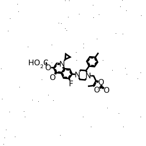 Cc1ccc(C2CN(c3cc4c(cc3F)c(=O)c(OC(=O)O)cn4C3CC3)CCN2Cc2oc(=O)oc2C)cc1